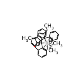 CCC1=Cc2ccccc2[C]1(c1ccccc1)[Ti]([Cl])([Cl])([SiH](C)C)[C]1(c2ccccc2)C(CC)=Cc2ccccc21